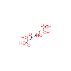 O=C(CCC(O)CC(O)C(=O)O)CC(O)C(=O)O